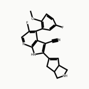 COc1ccc(F)cc1-c1c(F)cnc2[nH]c(C3=CC4CNCC4C3)c(C#N)c12